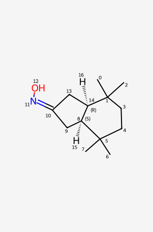 CC1(C)CCC(C)(C)[C@H]2CC(=NO)C[C@H]21